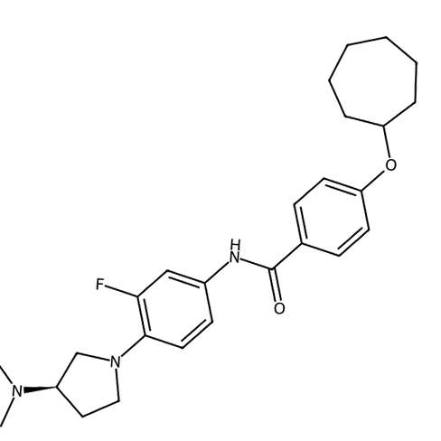 CN(C)[C@@H]1CCN(c2ccc(NC(=O)c3ccc(OC4CCCCCC4)cc3)cc2F)C1